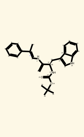 C=C(N/C=C(\C)c1ccccc1)[C@@H](Cc1c[nH]c2ccccc12)NC(=O)OC(C)(C)C